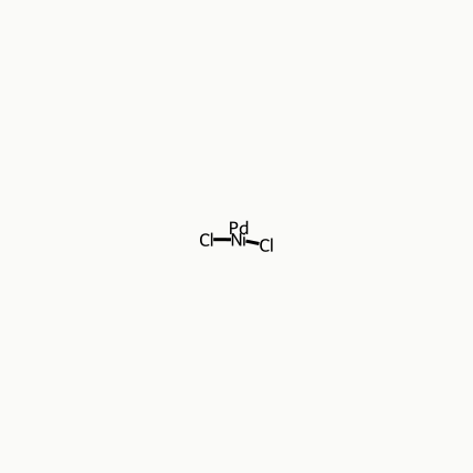 [Cl][Ni][Cl].[Pd]